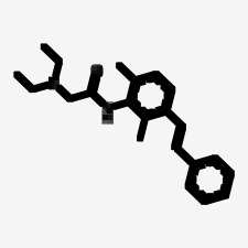 CCN(CC)CC(=O)Nc1c(C)ccc(/C=C/c2ccccc2)c1C